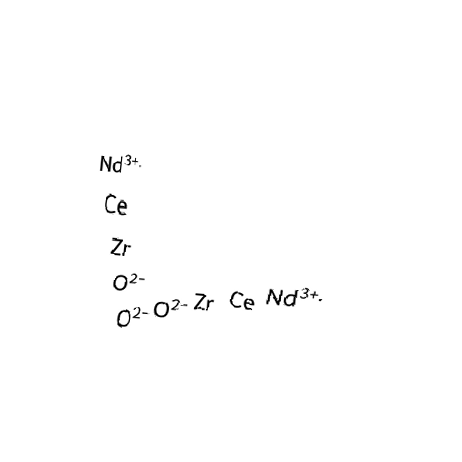 [Ce].[Ce].[Nd+3].[Nd+3].[O-2].[O-2].[O-2].[Zr].[Zr]